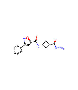 NNC(=O)[C@H]1C[C@H](NC(=O)c2cc(-c3ccccc3)no2)C1